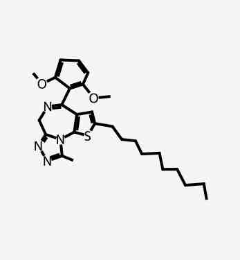 CCCCCCCCCCc1cc2c(s1)-n1c(C)nnc1CN=C2c1c(OC)cccc1OC